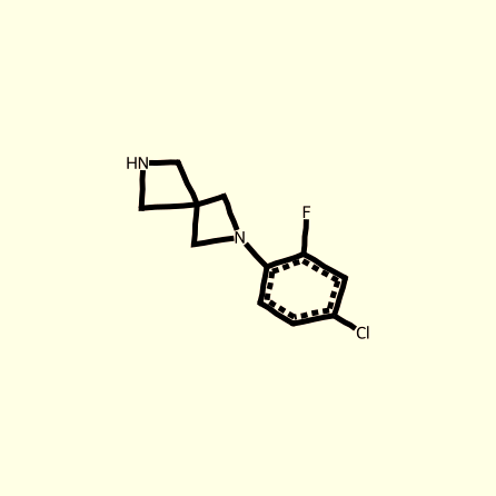 Fc1cc(Cl)ccc1N1CC2(CNC2)C1